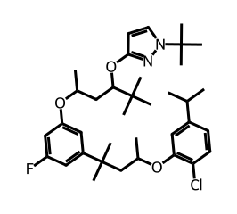 CC(CC(Oc1ccn(C(C)(C)C)n1)C(C)(C)C)Oc1cc(F)cc(C(C)(C)CC(C)Oc2cc(C(C)C)ccc2Cl)c1